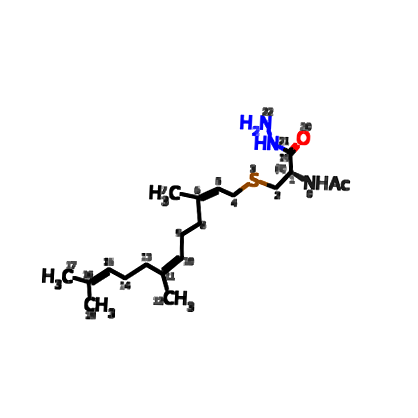 CC(=O)N[C@@H](CSCC=C(C)CCC=C(C)CCC=C(C)C)C(=O)NN